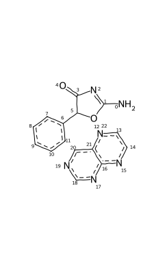 NC1=NC(=O)C(c2ccccc2)O1.c1cnc2ncncc2n1